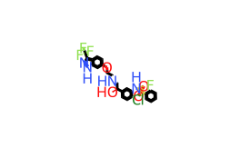 O=S(=O)(Nc1cc([C@@H](O)CNCCOc2ccc3c(C(F)(F)F)n[nH]c3c2)ccc1Cl)c1ccccc1F